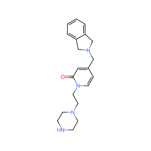 O=c1cc(CN2Cc3ccccc3C2)ccn1CCN1CCNCC1